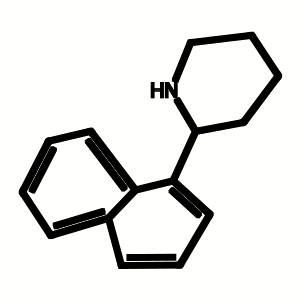 c1ccc2c(C3CCCCN3)cccc2c1